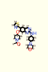 CC(=O)N1CCC(Oc2cc3nc(Nc4ccc(N5CCOCC5)cc4)ncc3cc2-c2nccs2)CC1